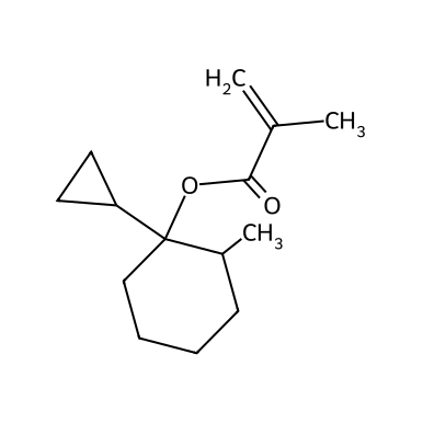 C=C(C)C(=O)OC1(C2CC2)CCCCC1C